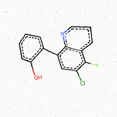 Oc1ccccc1-c1cc(Cl)c(F)c2cccnc12